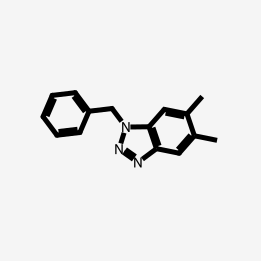 Cc1cc2nnn(Cc3ccccc3)c2cc1C